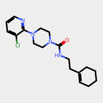 O=C(NCCC1=CCCCC1)N1CCN(c2ncccc2Cl)CC1